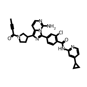 CC#CC(=O)N1CCC(c2nc(-c3ccc(C(=O)Nc4cc(C5CC5)ccn4)c(Cl)c3)n3c(N)nccc23)C1